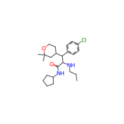 CCCNC(C(=O)NC1CCCC1)C(c1ccc(Cl)cc1)C1CCOC(C)(C)C1